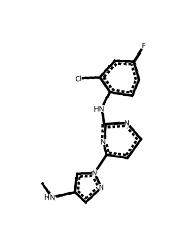 CNc1cnn(-c2ccnc(Nc3ccc(F)cc3Cl)n2)c1